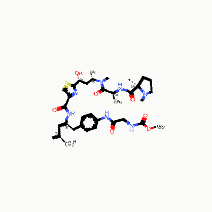 CCC(C)[C@H](NC(=O)[C@@]1(C)CCCN1C)C(=O)N(C)[C@H](C[C@@H](O)c1nc(C(=O)N[C@@H](Cc2ccc(NC(=O)CNC(=O)OC(C)(C)C)cc2)C[C@H](C)C(=O)O)cs1)C(C)C